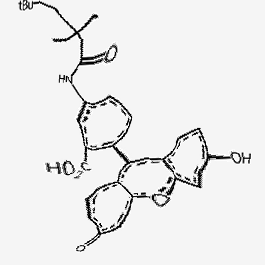 CC(C)(C)CC(C)(C)C(=O)Nc1ccc(-c2c3ccc(=O)cc-3oc3cc(O)ccc23)c(C(=O)O)c1